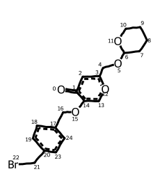 O=c1cc(COC2CCCCO2)occ1OCc1ccc(CBr)cc1